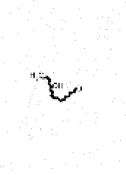 CC/C=C\CC(O)/C=C/C=C\C/C=C\CCCCC=O